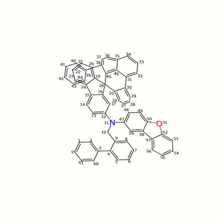 c1ccc(-c2ccccc2CN(c2ccc3c(c2)C2(c4ccccc4-3)c3ccccc3-c3cccc4ccc(-c5ccccc5)c2c34)c2ccc3oc4ccccc4c3c2)cc1